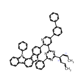 C=C/C=C(\C=C/C)c1nc(-c2ccccc2)nc(-c2cc(-c3cccc(-c4ccccc4)c3)cnc2-c2ccc3c(c2)sc2ccc4c5ccccc5n(-c5ccccc5)c4c23)n1